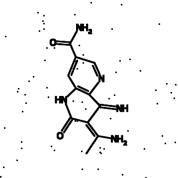 C/C(N)=C1/C(=N)c2ncc(C(N)=O)cc2NC1=O